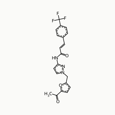 CC(=O)c1ccc(Cn2ccc(NC(=O)/C=C/c3ccc(C(F)(F)F)cc3)n2)o1